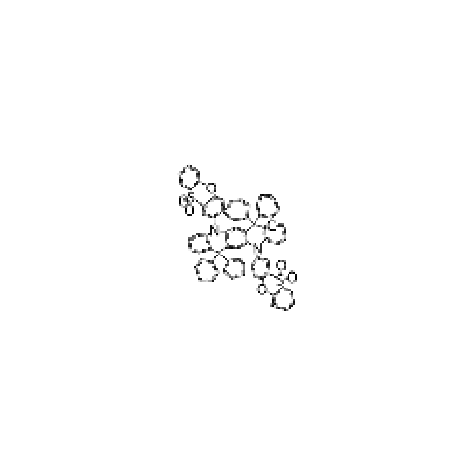 O=S1(=O)c2ccccc2Oc2ccc(N3c4ccccc4C(c4ccccc4)(c4ccccc4)c4cc5c(cc43)C(c3ccccc3)(c3ccccc3)c3ccccc3N5c3ccc4c(c3)S(=O)(=O)c3ccccc3O4)cc21